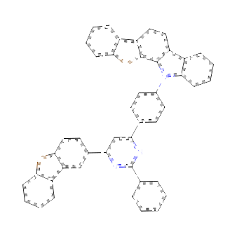 c1ccc(-c2nc(-c3ccc(-n4c5ccccc5c5ccc6c7ccccc7sc6c54)cc3)cc(-c3ccc4sc5ccccc5c4c3)n2)cc1